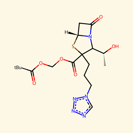 C[C@@H](O)C1N2C(=O)C[C@H]2SC1(CCCn1cnnn1)C(=O)OCOC(=O)C(C)(C)C